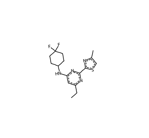 CCc1cc(NC2CCC(F)(F)CC2)nc(-c2nc(C)cs2)n1